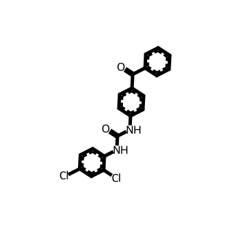 O=C(Nc1ccc(C(=O)c2ccccc2)cc1)Nc1ccc(Cl)cc1Cl